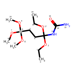 CCOC(CC[Si](OC)(OC)OC)(NC(N)=O)OCC